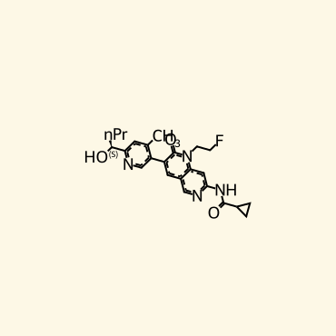 CCC[C@H](O)c1cc(C)c(-c2cc3cnc(NC(=O)C4CC4)cc3n(CCF)c2=O)cn1